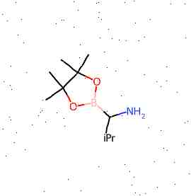 CC(C)C(N)B1OC(C)(C)C(C)(C)O1